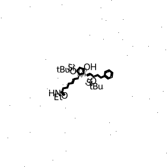 CCNC(=O)CCCC=CC[C@@H]1[C@@H](C=CC(CCc2ccccc2)O[Si](C)(C)C(C)(C)C)[C@H](O)C[C@@H]1O[Si](C)(C)C(C)(C)C